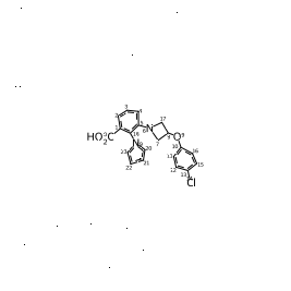 O=C(O)c1cccc(N2CC(Oc3ccc(Cl)cc3)C2)c1-n1cccc1